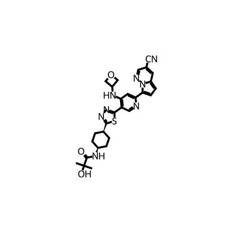 CC(C)(O)C(=O)N[C@H]1CC[C@@H](c2nnc(-c3cnc(-c4ccc5cc(C#N)cnn45)cc3NC3COC3)s2)CC1